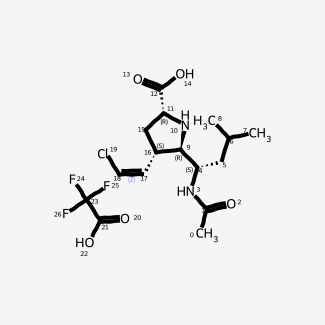 CC(=O)N[C@@H](CC(C)C)[C@@H]1N[C@@H](C(=O)O)C[C@H]1/C=C\Cl.O=C(O)C(F)(F)F